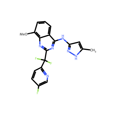 COc1cccc2c(Nc3cc(C)[nH]n3)nc(C(F)(F)c3ccc(F)cn3)nc12